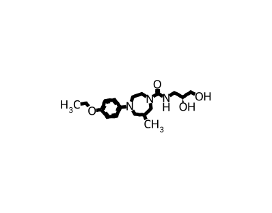 CCOc1ccc(N2CCN(C(=O)NC[C@@H](O)CO)CC(C)C2)cc1